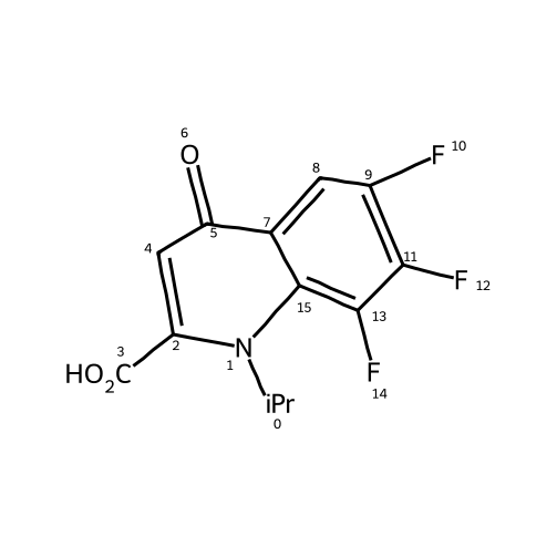 CC(C)n1c(C(=O)O)cc(=O)c2cc(F)c(F)c(F)c21